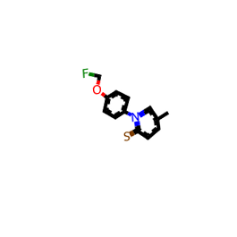 Cc1ccc(=S)n(-c2ccc(OCF)cc2)c1